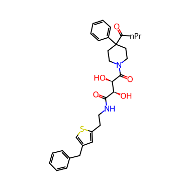 CCCC(=O)C1(c2ccccc2)CCN(C(=O)[C@H](O)[C@@H](O)C(=O)NCCc2cc(Cc3ccccc3)cs2)CC1